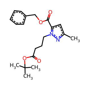 Cc1cc(C(=O)OCc2ccccc2)n(CCCC(=O)OC(C)(C)C)n1